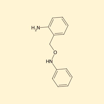 Nc1ccccc1CONc1ccccc1